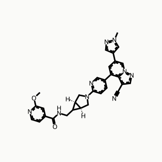 COc1cc(C(=O)NCC2[C@H]3CN(c4ccc(-c5cc(-c6cnn(C)c6)cn6ncc(C#N)c56)cn4)C[C@@H]23)ccn1